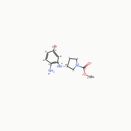 CC(C)(C)OC(=O)N1CC[C@@H](Nc2cc(Br)ccc2N)C1